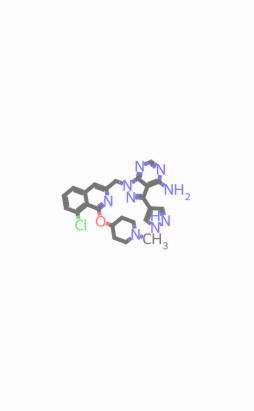 CN1CCC(Oc2nc(Cn3nc(-c4cn[nH]c4)c4c(N)ncnc43)cc3cccc(Cl)c23)CC1